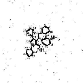 NCc1c(C=Cc2ccccc2-c2ccccc2N)c(-c2ncccn2)cn1-c1ccccc1